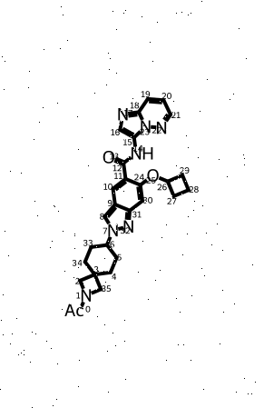 CC(=O)N1CC2(CCC(n3cc4cc(C(=O)Nc5cnc6cccnn56)c(OC5CCC5)cc4n3)CC2)C1